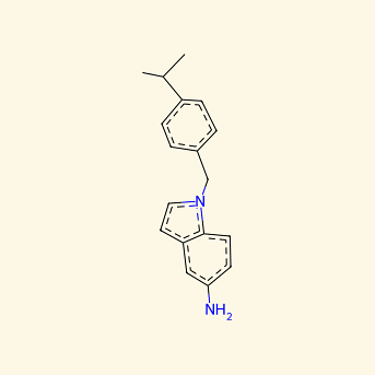 CC(C)c1ccc(Cn2ccc3cc(N)ccc32)cc1